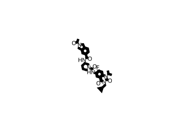 CC(=O)N1Cc2ccc(C(=O)N[C@@H]3CCCN(C(=O)Nc4cc5c(=O)n(CC6CC6)c(=O)n(C(C)C)c5cc4F)C3)cc2C1